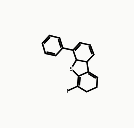 IC1=C2SC3C(c4ccccc4)=CC=CC3C2=CCC1